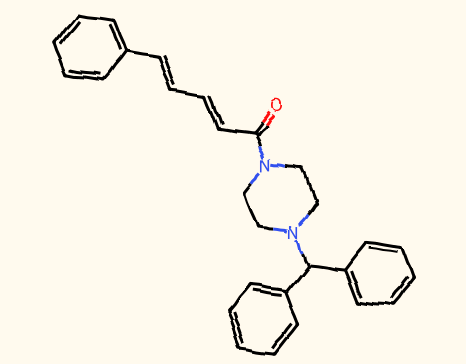 O=C(C=CC=Cc1ccccc1)N1CCN(C(c2ccccc2)c2ccccc2)CC1